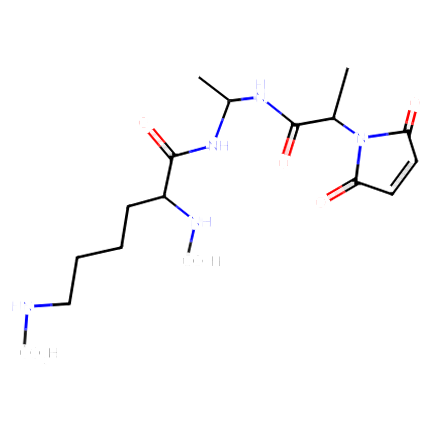 CC(NC(=O)C(CCCCNC(=O)O)NC(=O)O)NC(=O)C(C)N1C(=O)C=CC1=O